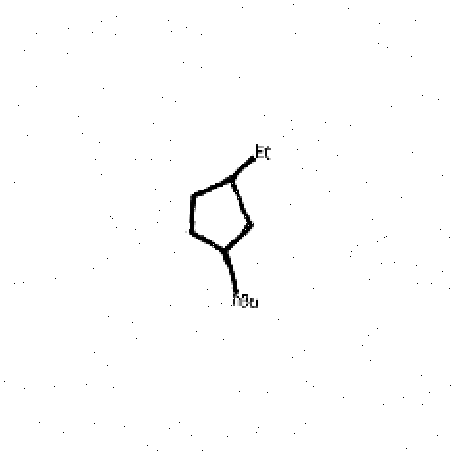 [CH2]CC1C[CH]C(CCCC)C1